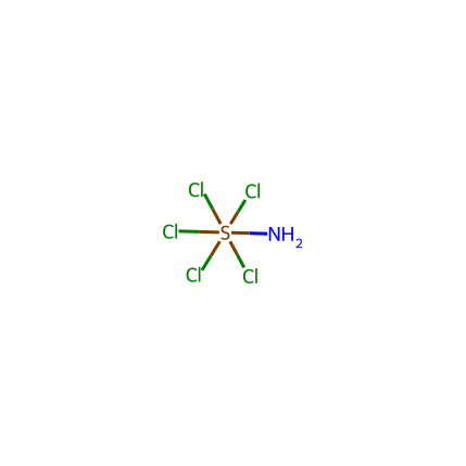 NS(Cl)(Cl)(Cl)(Cl)Cl